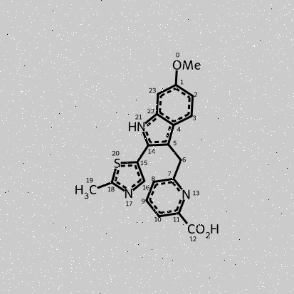 COc1ccc2c(Cc3cccc(C(=O)O)n3)c(-c3cnc(C)s3)[nH]c2c1